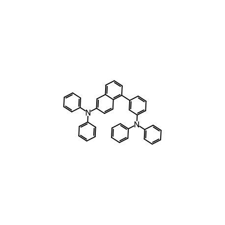 c1ccc(N(c2ccccc2)c2cccc(-c3cccc4cc(N(c5ccccc5)c5ccccc5)ccc34)c2)cc1